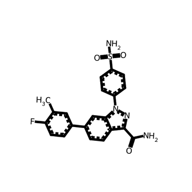 Cc1cc(-c2ccc3c(C(N)=O)nn(-c4ccc(S(N)(=O)=O)cc4)c3c2)ccc1F